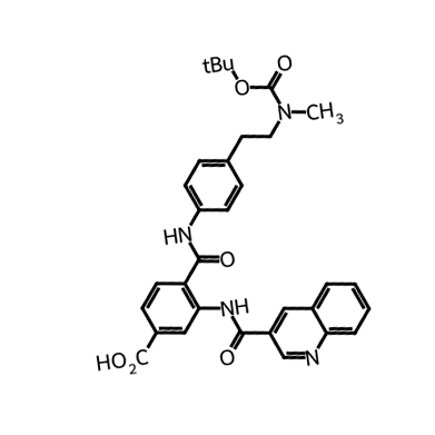 CN(CCc1ccc(NC(=O)c2ccc(C(=O)O)cc2NC(=O)c2cnc3ccccc3c2)cc1)C(=O)OC(C)(C)C